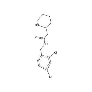 O=C(CC1CCCCN1)NCc1ccc(Cl)cc1Cl